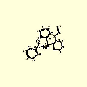 C=CCN1CCCCC1C(NC(=O)c1ccccc1)c1ccccc1